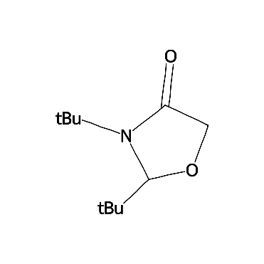 CC(C)(C)C1OCC(=O)N1C(C)(C)C